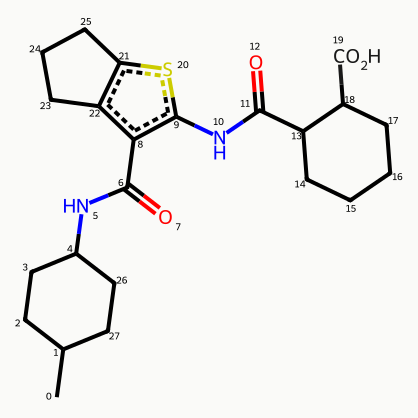 CC1CCC(NC(=O)c2c(NC(=O)C3CCCCC3C(=O)O)sc3c2CCC3)CC1